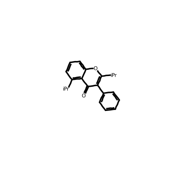 CC(C)c1oc2cccc(C(C)C)c2c(=O)c1-c1ccccc1